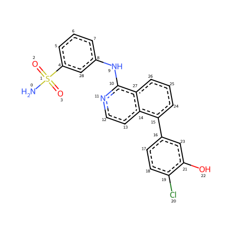 NS(=O)(=O)c1cccc(Nc2nccc3c(-c4ccc(Cl)c(O)c4)cccc23)c1